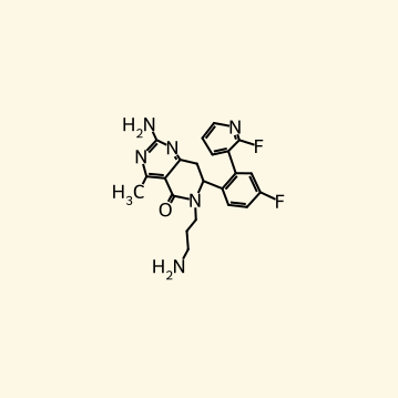 Cc1nc(N)nc2c1C(=O)N(CCCN)C(c1ccc(F)cc1-c1cccnc1F)C2